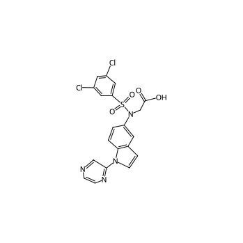 O=C(O)CN(c1ccc2c(ccn2-c2cnccn2)c1)S(=O)(=O)c1cc(Cl)cc(Cl)c1